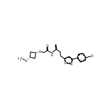 C=C(CCc1cc(-c2ccc(Cl)cc2)no1)NC(=O)CO[C@H]1C[C@@H](OC(F)(F)F)C1